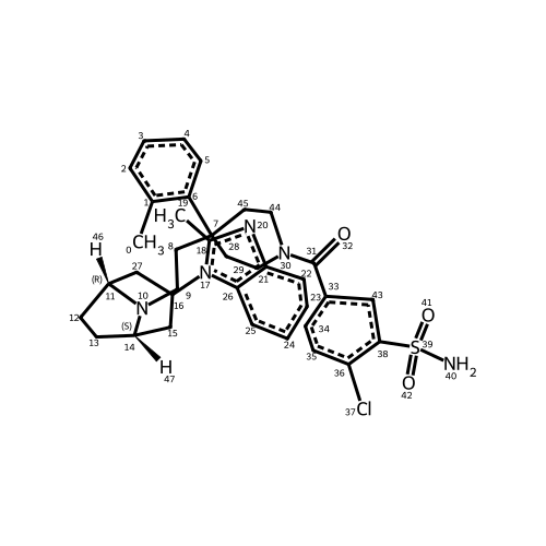 Cc1ccccc1C1(CCN2[C@@H]3CC[C@H]2CC(n2c(C)nc4ccccc42)C3)CCN(C(=O)c2ccc(Cl)c(S(N)(=O)=O)c2)CC1